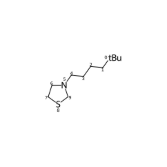 CC(C)(C)CCCCN1CCSC1